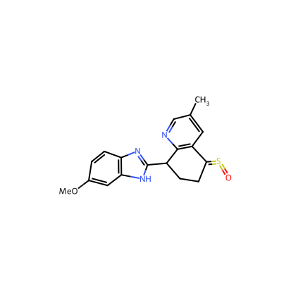 COc1ccc2nc(C3CCC(=S=O)c4cc(C)cnc43)[nH]c2c1